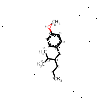 CCCC(Cc1ccc(OC)cc1)[C](C)C